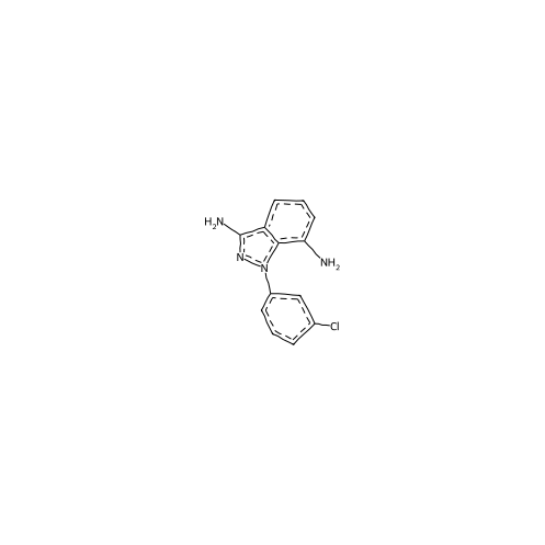 Nc1nn(-c2cccc(Cl)c2)c2c(N)cccc12